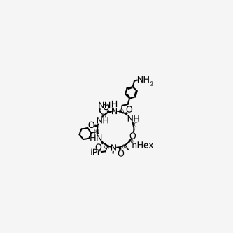 CCCCCC[C@H]1OC[C@@H](C)NC(=O)[C@H](CCc2ccc(CN)cc2)NC(=O)[C@H](CN)NC(=O)[C@H](C2CCCCC2)NC(=O)[C@H](CC(C)C)N(C)C(=O)[C@@H]1C